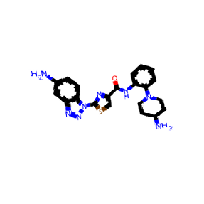 Nc1ccc2c(c1)nnn2-c1nc(C(=O)Nc2ccccc2N2CCC(N)CC2)cs1